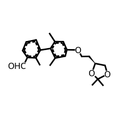 Cc1cc(OCC[C@H]2COC(C)(C)O2)cc(C)c1-c1cccc(C=O)c1C